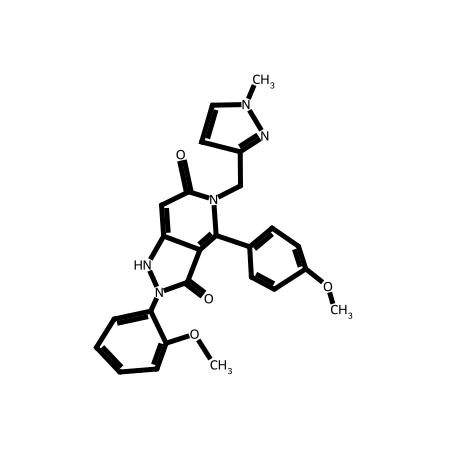 COc1ccc(-c2c3c(=O)n(-c4ccccc4OC)[nH]c3cc(=O)n2Cc2ccn(C)n2)cc1